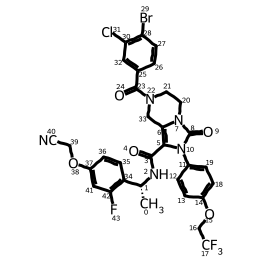 C[C@@H](NC(=O)c1c2n(c(=O)n1-c1ccc(OCC(F)(F)F)cc1)CCN(C(=O)c1ccc(Br)c(Cl)c1)C2)c1ccc(OCC#N)cc1F